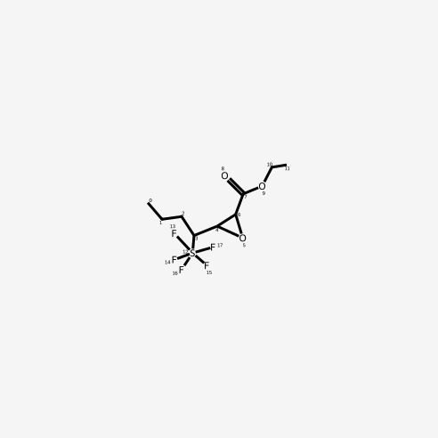 CCCC(C1OC1C(=O)OCC)S(F)(F)(F)(F)F